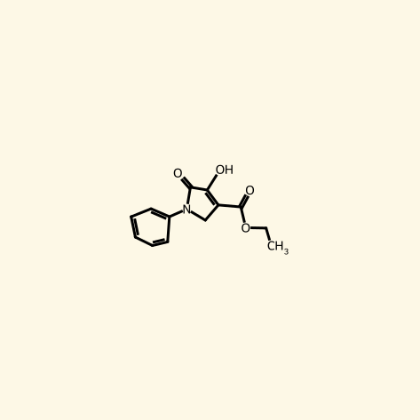 CCOC(=O)C1=C(O)C(=O)N(c2ccccc2)C1